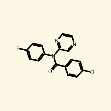 O=C(c1ccc(Cl)cc1)N(c1ccc(F)cc1)c1cnccn1